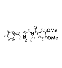 COc1ccc(C(=O)N2CCCN(CCc3ccccc3)CC2)cc1OC